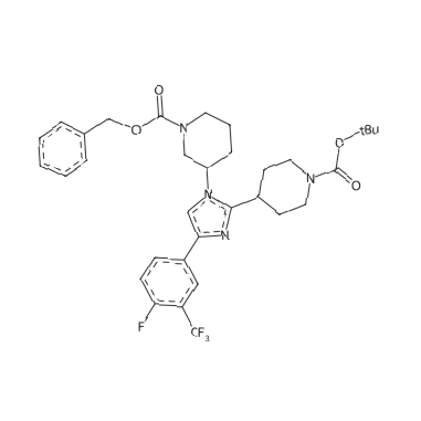 CC(C)(C)OC(=O)N1CCC(c2nc(-c3ccc(F)c(C(F)(F)F)c3)cn2C2CCCN(C(=O)OCc3ccccc3)C2)CC1